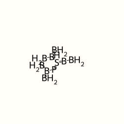 B/B=[SH](=P\B(B)B)\B(B)B